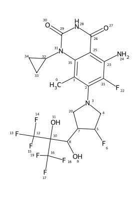 Cc1c(N2CC(F)C(C(O)C(O)(C(F)(F)F)C(F)(F)F)C2)c(F)c(N)c2c(=O)[nH]c(=O)n(C3CC3)c12